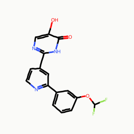 O=c1[nH]c(-c2ccnc(-c3cccc(OC(F)F)c3)c2)ncc1O